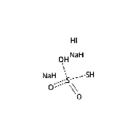 I.O=S(=O)(O)S.[NaH].[NaH]